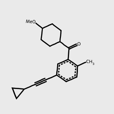 COC1CCC(C(=O)c2cc(C#CC3CC3)ccc2C)CC1